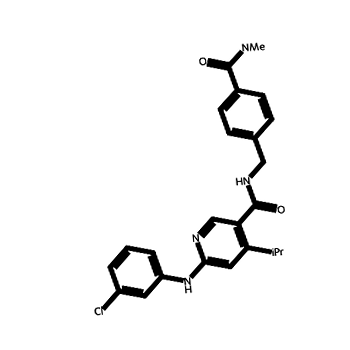 CNC(=O)c1ccc(CNC(=O)c2cnc(Nc3cccc(Cl)c3)cc2C(C)C)cc1